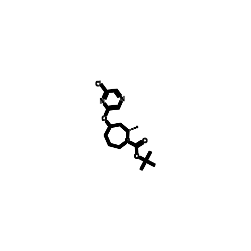 C[C@H]1CC(Oc2cncc(Cl)n2)CCCN1C(=O)OC(C)(C)C